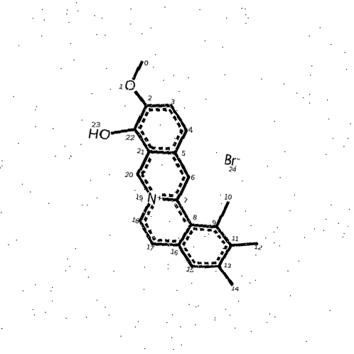 COc1ccc2cc3c4c(C)c(C)c(C)cc4cc[n+]3cc2c1O.[Br-]